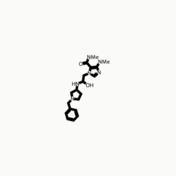 CNC(=O)c1c(NC)ncn1CC(O)NC1CCN(Cc2ccccc2)C1